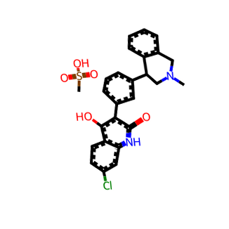 CN1Cc2ccccc2C(c2cccc(-c3c(O)c4ccc(Cl)cc4[nH]c3=O)c2)C1.CS(=O)(=O)O